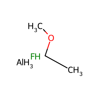 CCOC.F.[AlH3]